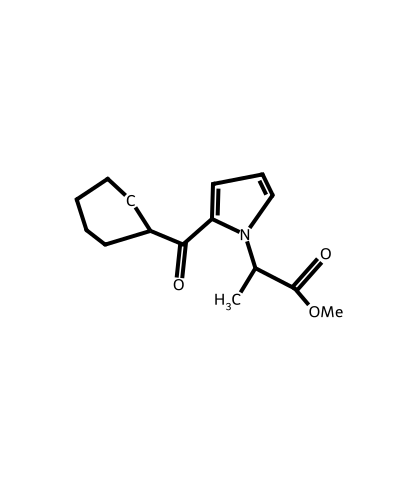 COC(=O)C(C)n1cccc1C(=O)C1CCCCC1